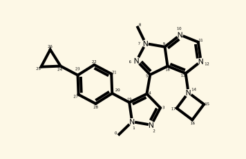 Cn1ncc(-c2nn(C)c3ncnc(N4CCC4)c23)c1-c1ccc(C2CC2)cc1